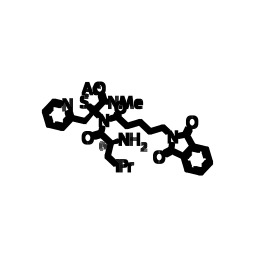 CNC(=O)[C@@](Cc1ccccn1)(SC(C)=O)N(C(=O)CCCCN1C(=O)c2ccccc2C1=O)C(=O)[C@@H](N)CC(C)C